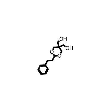 OCC1(CO)COC(CCc2ccccc2)OC1